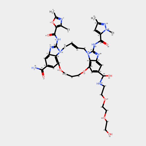 CCc1nc(C)oc1C(=O)Nc1nc2cc(C(N)=O)cc3c2n1C/C=C/Cn1c(NC(=O)c2cc(C)nn2CC)nc2cc(C(O)NCCOCCOCCO)cc(c21)OCCCO3